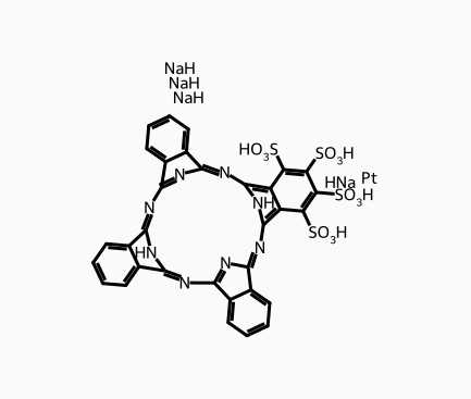 O=S(=O)(O)c1c(S(=O)(=O)O)c(S(=O)(=O)O)c2c3nc4nc(nc5[nH]c(nc6nc(nc([nH]3)c2c1S(=O)(=O)O)-c1ccccc1-6)c1ccccc51)-c1ccccc1-4.[NaH].[NaH].[NaH].[NaH].[Pt]